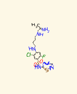 C[C@H](N)CNCCCCNc1cc(F)c(S(=O)(=O)Nc2ncns2)cc1Cl